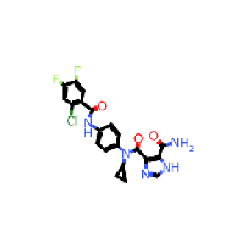 NC(=O)c1[nH]cnc1C(=O)N(c1ccc(NC(=O)c2cc(F)c(F)cc2Cl)cc1)C1CC1